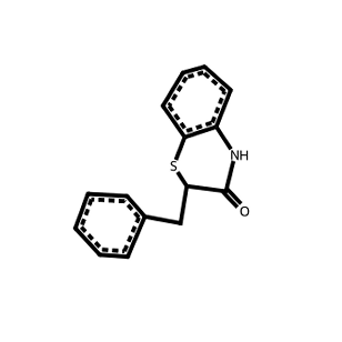 O=C1Nc2ccccc2SC1Cc1ccccc1